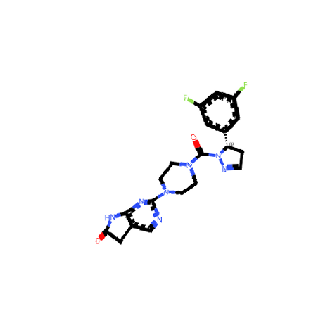 O=C1Cc2cnc(N3CCN(C(=O)N4N=CC[C@H]4c4cc(F)cc(F)c4)CC3)nc2N1